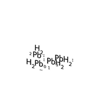 [PbH2].[PbH2].[PbH2].[PbH2]